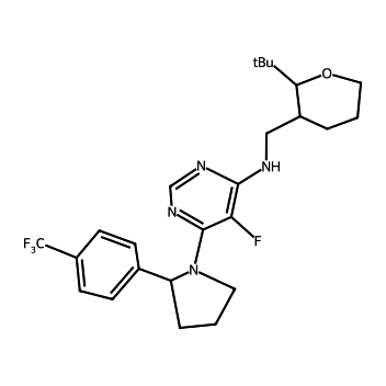 CC(C)(C)C1OCCCC1CNc1ncnc(N2CCCC2c2ccc(C(F)(F)F)cc2)c1F